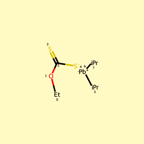 CCOC(=S)[S-].C[CH](C)[Pb+][CH](C)C